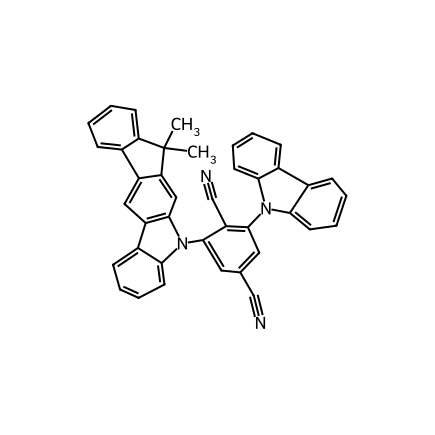 CC1(C)c2ccccc2-c2cc3c4ccccc4n(-c4cc(C#N)cc(-n5c6ccccc6c6ccccc65)c4C#N)c3cc21